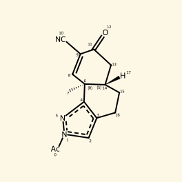 CC(=O)n1cc2c(n1)[C@@]1(C)C=C(C#N)C(=O)C[C@@H]1CC2